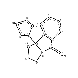 O=C1c2ccccc2C2(c3ccco3)OCCN12